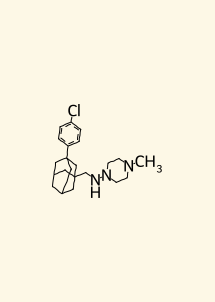 CN1CCN(NCC23CC4CC(C2)CC(c2ccc(Cl)cc2)(C4)C3)CC1